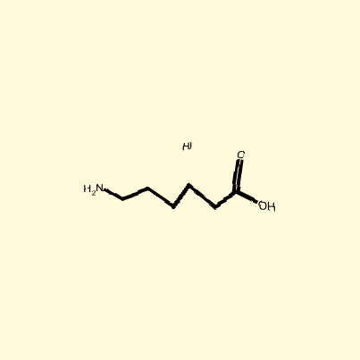 I.NCCCCCC(=O)O